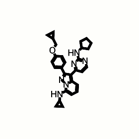 c1cc(NC2CC2)n2nc(-c3ccc(OCC4CC4)cc3)c(-c3ccnc(NC4CCCC4)n3)c2c1